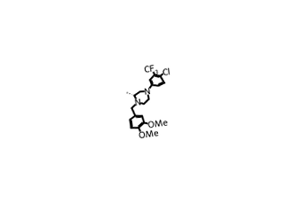 COc1ccc(CN2CCN(c3ccc(Cl)c(C(F)(F)F)c3)C[C@H]2C)cc1OC